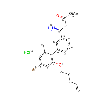 C=CCCCOc1cc(Br)cc(C)c1-c1cccc([C@@H](N)CC(=O)OC)c1.Cl